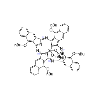 CCCCOc1c2c(cc3ccccc13)/C1=N/c3c4c(OCCCC)c5ccccc5cc4c4n3[Si](OCCCC)(OCCCC)n3/c(c5cc6ccccc6c(OCCCC)c5/c3=N/C3N/C(=N\4)c4c3cc3ccccc3c4OCCCC)=N\C2=N1